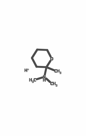 C[SiH](C)C1(C)CCCCO1.[H+]